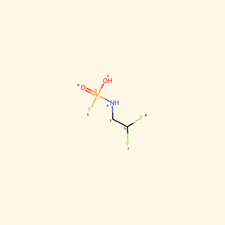 O=P(O)(F)NCC(F)F